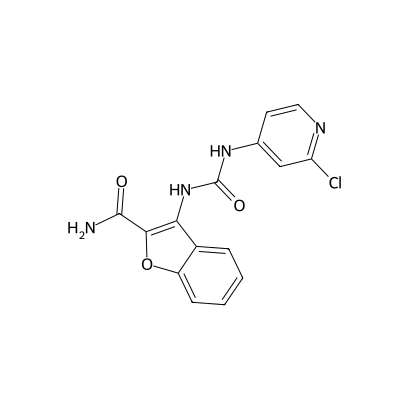 NC(=O)c1oc2ccccc2c1NC(=O)Nc1ccnc(Cl)c1